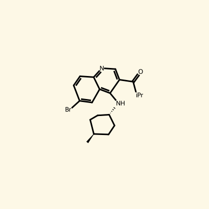 CC(C)C(=O)c1cnc2ccc(Br)cc2c1N[C@H]1CC[C@H](C)CC1